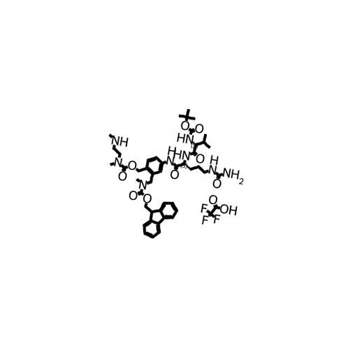 CNCCN(C)C(=O)OCc1ccc(NC(=O)[C@H](CCCNC(N)=O)NC(=O)[C@@H](NC(=O)OC(C)(C)C)C(C)C)cc1CN(C)C(=O)OCC1c2ccccc2-c2ccccc21.O=C(O)C(F)(F)F